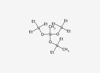 CC[Si](C)(CC)O[Si](C)(O[Si](CC)(CC)CC)O[Si](CC)(CC)CC